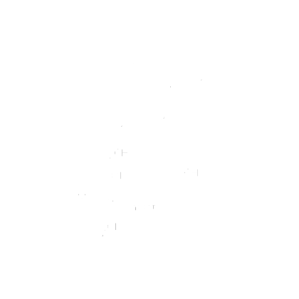 CCCCCCCCP(=O)(O)O.Cc1ccccc1.Cc1ccccc1